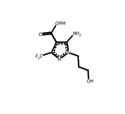 COC(=O)c1c(C(F)(F)F)nn(CCCO)c1N